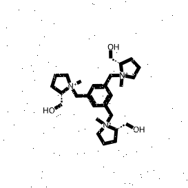 C[N+]1(Cc2cc(C[N+]3(C)CCC[C@H]3CO)cc(C[N+]3(C)CCC[C@H]3CO)c2)CCC[C@H]1CO